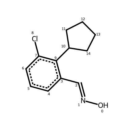 ON=Cc1cccc(Cl)c1C1CCCC1